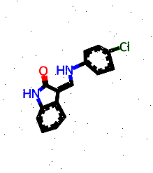 O=C1Nc2ccccc2C1=CNc1ccc(Cl)cc1